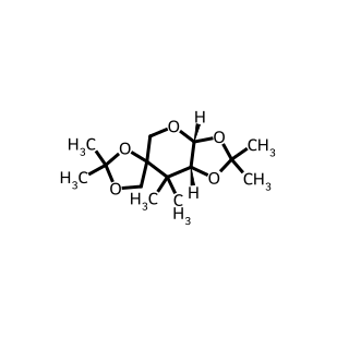 CC1(C)O[C@H]2OCC3(COC(C)(C)O3)C(C)(C)[C@H]2O1